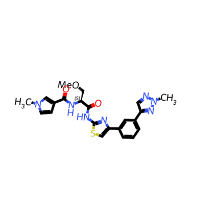 COC[C@H](NC(=O)c1ccn(C)c1)C(=O)Nc1nc(-c2cccc(-c3cnn(C)n3)c2)cs1